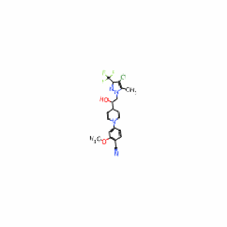 COc1cc(N2CCC(C(O)Cn3nc(C(F)(F)F)c(Cl)c3C)CC2)ccc1C#N